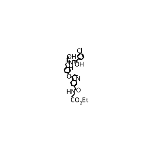 CCOC(=O)CCNC(=O)c1ccc2c(Oc3ccc(C[C@@H](CO)NC[C@H](O)c4cccc(Cl)c4)cc3)ccnc2c1